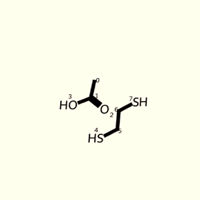 CC(=O)O.SCCS